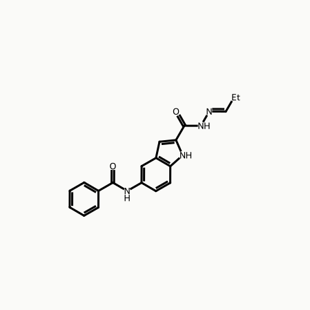 CCC=NNC(=O)c1cc2cc(NC(=O)c3ccccc3)ccc2[nH]1